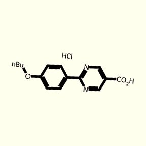 CCCCOc1ccc(-c2ncc(C(=O)O)cn2)cc1.Cl